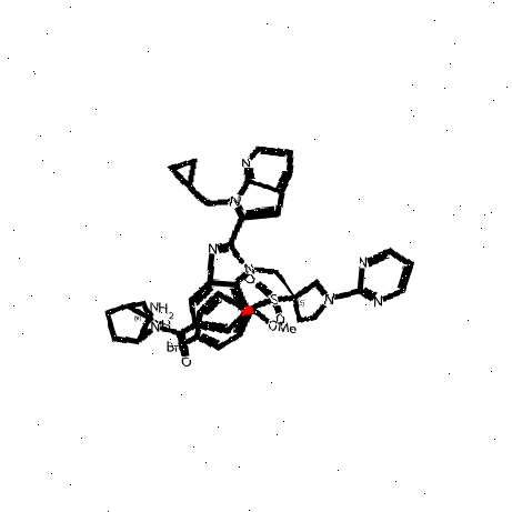 COc1cc(C(=O)N2CC3CCC2[C@@H]3N)cc2nc(-c3cc4cccnc4n3CC3CC3)n(C[C@]3(S(=O)(=O)c4ccc(Br)cc4)CCN(c4ncccn4)C3)c12